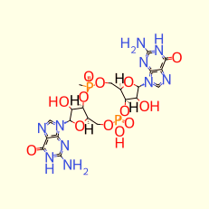 CP1(=O)OC[C@H]2O[C@@H](n3cnc4c(=O)[nH]c(N)nc43)C(O)[C@H]2OP(=O)(O)OC[C@H]2O[C@@H](n3cnc4c(=O)[nH]c(N)nc43)C(O)[C@H]2O1